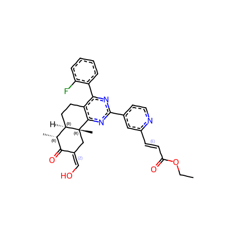 CCOC(=O)/C=C/c1cc(-c2nc(-c3ccccc3F)c3c(n2)[C@]2(C)C/C(=C/O)C(=O)[C@H](C)[C@H]2CC3)ccn1